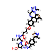 Cc1ncsc1-c1ccc([C@H](C)NC(=O)[C@@H]2C[C@@H](O)CN2C(=O)C(NC(=O)CCCOc2ccc(C3=N[C@@H](C)c4nnc(C)n4-c4sc(C)c(C)c43)cc2)C(C)(C)C)cc1